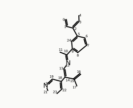 C=C/C(=C\C)c1cccc(/C(C)=N/C=C(C(=C)C)/C(/C=N\C)=C/C)c1